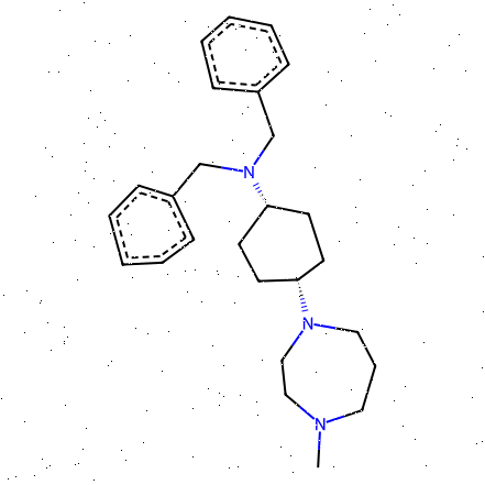 CN1CCCN([C@H]2CC[C@@H](N(Cc3ccccc3)Cc3ccccc3)CC2)CC1